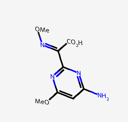 CON=C(C(=O)O)c1nc(N)cc(OC)n1